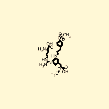 CCOC(Cc1cccc(NCCCc2ccc(OS(C)(=O)=O)cc2)c1)C(=O)O.N=C(N)NCCC[C@H](N)C(=O)O